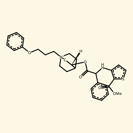 COC(=O)c1sccc1NC(C(=O)O[C@H]1C[N+]2(CCCOc3ccccc3)CCC1CC2)c1ccccc1